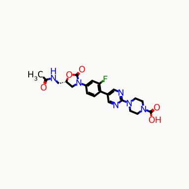 CC(=O)NC[C@H]1CN(c2ccc(-c3cnc(N4CCN(C(=O)O)CC4)nc3)c(F)c2)C(=O)O1